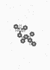 c1ccc(C2NC(c3ccccc3)NC(c3cccc(-n4c5ccccc5c5c6c7cc8oc9ccccc9c8cc7n(-c7ccccc7)c6ccc54)c3)N2)cc1